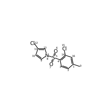 Cc1ccc(S(=O)(=O)n2ccc(Cl)c2)c(Cl)c1